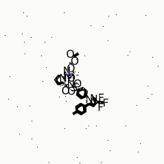 CC(=O)OCO/N=[N+](\[O-])N1CCC[C@H]1C(=O)NS(=O)(=O)c1ccc(-n2nc(C(F)(F)F)cc2-c2ccc(C)cc2)cc1